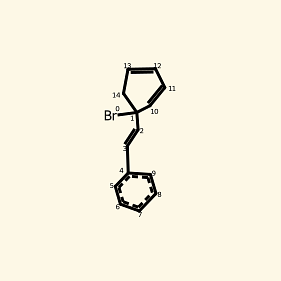 BrC1(C=Cc2ccccc2)C=CC=CC1